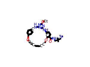 CCOc1nc2nc(n1)Nc1ccc(C(=O)NCC(C)(C)CN(C)C)c(c1)OCCCC=CCCCOc1ccc(cc1)CN2